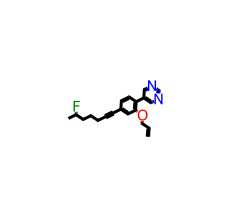 C=CCOc1cc(C#CCCCC(C)F)ccc1-c1cncnc1